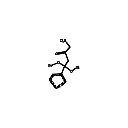 CCOC(CC(=O)C[N+](=O)[O-])(OCC)c1ccccc1